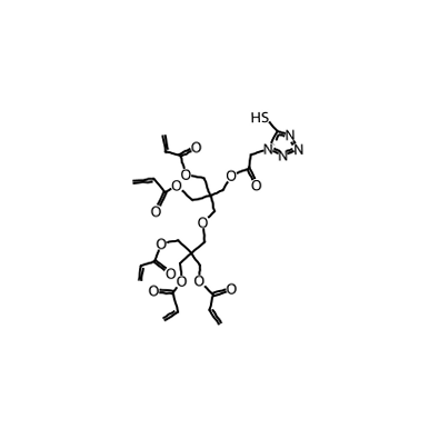 C=CC(=O)OCC(COCC(COC(=O)C=C)(COC(=O)C=C)COC(=O)Cn1nnnc1S)(COC(=O)C=C)COC(=O)C=C